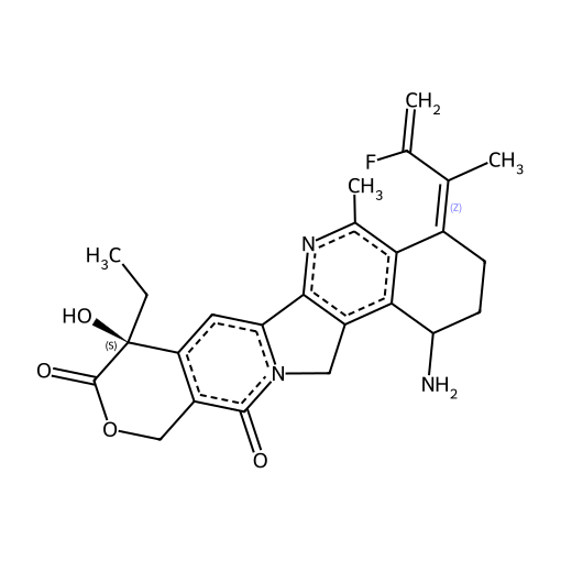 C=C(F)/C(C)=C1/CCC(N)c2c3c(nc(C)c21)-c1cc2c(c(=O)n1C3)COC(=O)[C@]2(O)CC